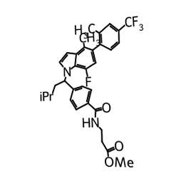 COC(=O)CCNC(=O)c1ccc(C(CC(C)C)n2ccc3c(C)c(-c4ccc(C(F)(F)F)cc4C)cc(F)c32)cc1